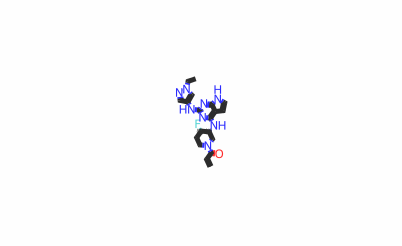 C=CC(=O)N1CC[C@@H](F)[C@@H](Nc2nc(Nc3cnn(CC)c3)nc3[nH]ccc23)C1